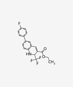 CCOC(=O)C1=Cc2cc(-c3ccc(F)cc3)ccc2NC1C(F)(F)F